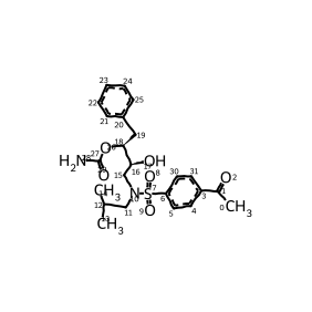 CC(=O)c1ccc(S(=O)(=O)N(CC(C)C)C[C@H](O)[C@H](Cc2ccccc2)OC(N)=O)cc1